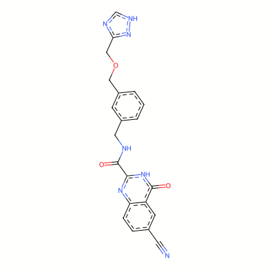 N#Cc1ccc2nc(C(=O)NCc3cccc(COCc4nc[nH]n4)c3)[nH]c(=O)c2c1